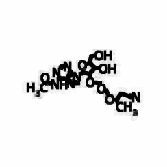 CC(=O)Nc1ncnc2c1ncn2C1OC(CO)C(O)C1OCOCOC(C)CC#N